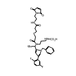 CC(C)(C)C(c1cc(-c2cc(F)ccc2F)cn1Cc1ccccc1)N(CCCNC(=O)O)C(=O)CSCCC(=O)NCCN1C(=O)C=CC1=O